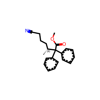 COC(=O)C(c1ccccc1)(c1ccccc1)[C@H](C)CCCC#N